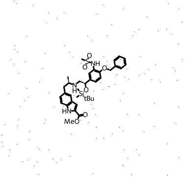 COC(=O)c1cc2cc(C[C@@H](C)NC[C@H](O[Si](C)(C)C(C)(C)C)c3ccc(OCc4ccccc4)c(NS(C)(=O)=O)c3)ccc2[nH]1